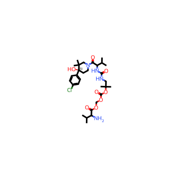 CC(C)C(N)C(=O)OCOC(=O)OC(C)(C)CNC(=O)NC(C(=O)N1CC[C@](O)(c2ccc(Cl)cc2)C(C)(C)C1)C(C)C